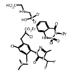 CC(C)N1C(=O)c2ccccc2NS1(=O)=O.CCOC(=O)C(Cl)Cc1cc(-n2nc(C)n(C(F)F)c2=O)c(F)cc1Cl.C[S+](C)C.O=C(O)CNCP(=O)([O-])O